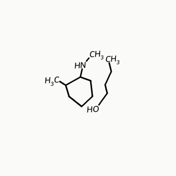 CCCCO.CNC1CCCCC1C